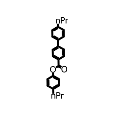 CCCc1ccc(OC(=O)c2ccc(-c3ccc(CCC)cc3)cc2)cc1